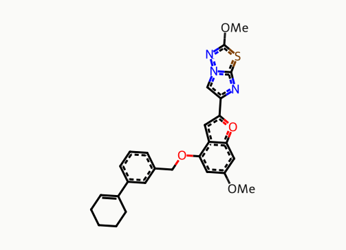 COc1cc(OCc2cccc(C3=CCCCC3)c2)c2cc(-c3cn4nc(OC)sc4n3)oc2c1